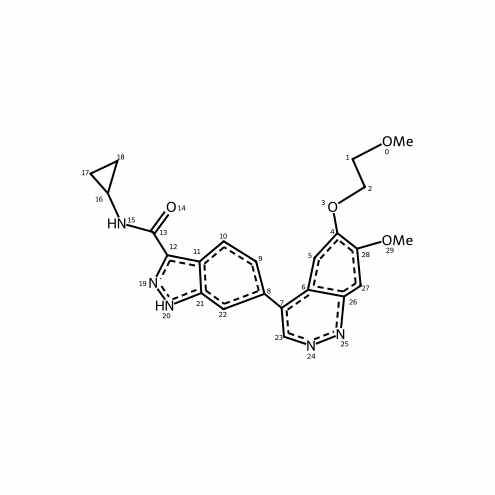 COCCOc1cc2c(-c3ccc4c(C(=O)NC5CC5)n[nH]c4c3)cnnc2cc1OC